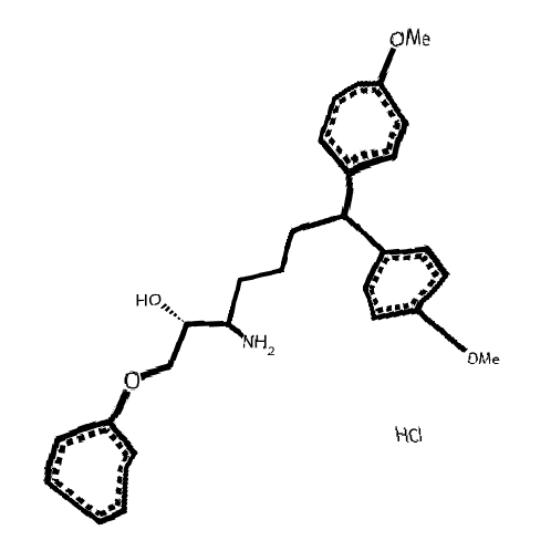 COc1ccc(C(CCCC(N)[C@@H](O)COc2ccccc2)c2ccc(OC)cc2)cc1.Cl